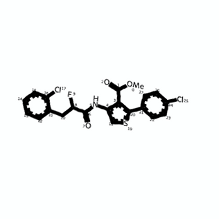 COC(=O)c1c(NC(=O)C(F)Cc2ccccc2Cl)csc1-c1ccc(Cl)cc1